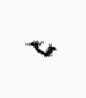 CC(=O)N([C@H](C(=O)N1C[C@H](O)C[C@H]1C(=O)O)C(C)(C)C)N1CCN(CC2CCN(c3ccc(-c4cnc5[nH]cc(C(=O)c6c(F)ccc(N(N7CC[C@@H](F)C7)[SH](=O)=O)c6F)c5c4)cc3)CC2)CC1